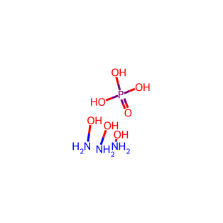 NO.NO.NO.O=P(O)(O)O